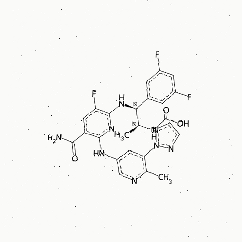 Cc1ncc(Nc2nc(N[C@@H](c3cc(F)cc(F)c3)[C@H](C)NC(=O)O)c(F)cc2C(N)=O)cc1-n1nccn1